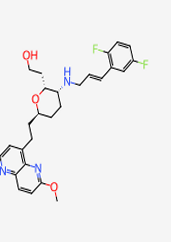 COc1ccc2nccc(CC[C@@H]3CC[C@@H](NCC=Cc4cc(F)ccc4F)[C@@H](CCO)O3)c2n1